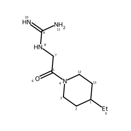 CCC1CCN(C(=O)CNC(=N)N)CC1